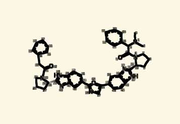 CN(C)C(C(=O)N1CCC[C@H]1c1nc2cc(-c3cnc(-c4ccc5[nH]c([C@@H]6CCCN6C(=O)Cc6ccccc6)nc5c4)o3)ccc2[nH]1)c1ccccc1